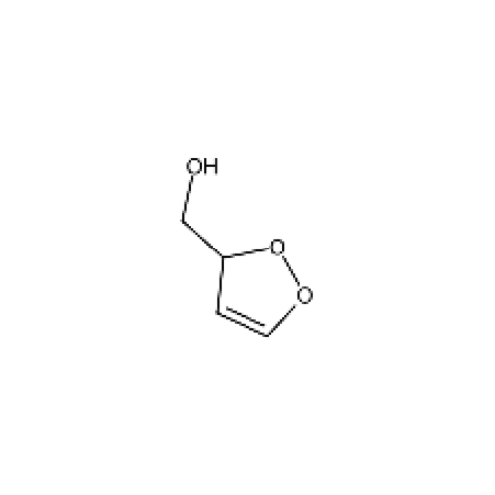 OCC1C=COO1